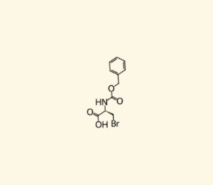 O=C(N[C@@H](CBr)C(=O)O)OCc1ccccc1